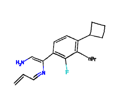 C=C/C=N\C(=C/N)c1ccc(C2CCC2)c(CCC)c1F